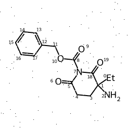 CCC1(N)CCC(=O)N(C(=O)OCc2ccccc2)C1=O